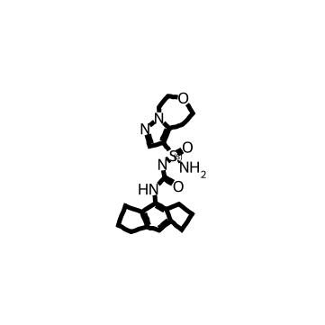 N[S@](=O)(=NC(=O)Nc1c2c(cc3c1CCC3)CCC2)c1cnn2c1CCOCC2